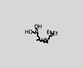 CCN(CC)CCCNC(C)CC/C=C(/C)CCCN(CCO)CCO